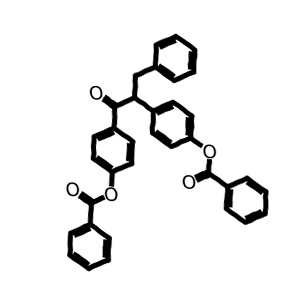 O=C(Oc1ccc(C(=O)C(Cc2ccccc2)c2ccc(OC(=O)c3ccccc3)cc2)cc1)c1ccccc1